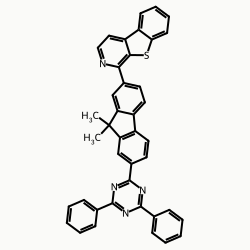 CC1(C)c2cc(-c3nc(-c4ccccc4)nc(-c4ccccc4)n3)ccc2-c2ccc(-c3nccc4c3sc3ccccc34)cc21